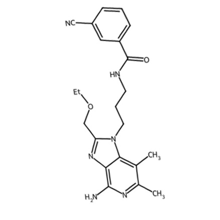 CCOCc1nc2c(N)nc(C)c(C)c2n1CCCNC(=O)c1cccc(C#N)c1